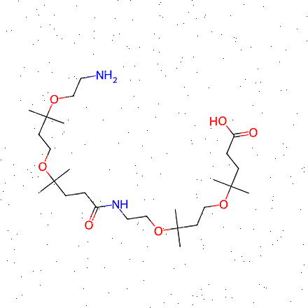 CC(C)(CCOC(C)(C)CCC(=O)NCCOC(C)(C)CCOC(C)(C)CCC(=O)O)OCCN